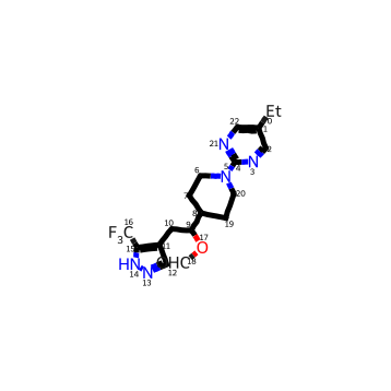 CCc1cnc(N2CCC(C(Cc3cn[nH]c3C(F)(F)F)OC=O)CC2)nc1